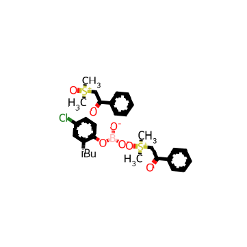 CCC(C)c1cc(Cl)ccc1OB([O-])[O-].C[S+](C)(=O)CC(=O)c1ccccc1.C[S+](C)(=O)CC(=O)c1ccccc1